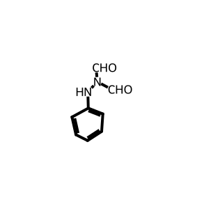 O=CN(C=O)Nc1ccccc1